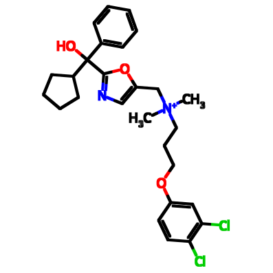 C[N+](C)(CCCOc1ccc(Cl)c(Cl)c1)Cc1cnc(C(O)(c2ccccc2)C2CCCC2)o1